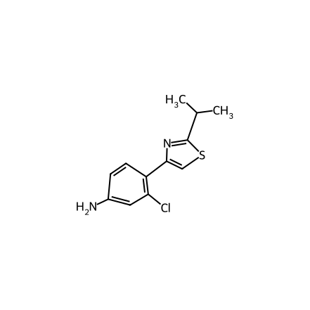 CC(C)c1nc(-c2ccc(N)cc2Cl)cs1